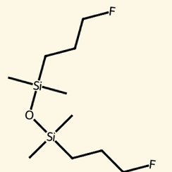 C[Si](C)(CCCF)O[Si](C)(C)CCCF